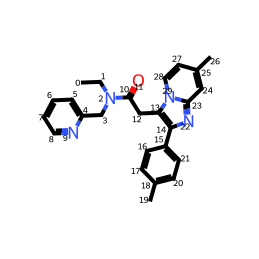 CCN(Cc1ccccn1)C(=O)Cc1c(-c2ccc(C)cc2)nc2cc(C)ccn12